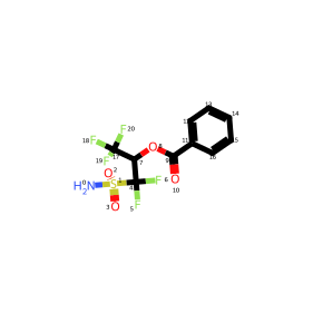 NS(=O)(=O)C(F)(F)C(OC(=O)c1ccccc1)C(F)(F)F